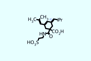 CC(C)=CC1=C/C(=C/C(C)C)CC(C(=O)O)(C(=O)NCCS(=O)(=O)O)C1